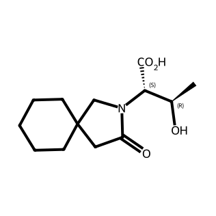 C[C@@H](O)[C@@H](C(=O)O)N1CC2(CCCCC2)CC1=O